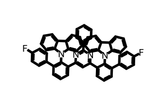 Fc1ccc(-c2cccc(-c3cc(-c4cccc(-c5ccc(F)cc5)c4-n4c5ccccc5c5ccccc54)nc(-c4ccccc4)n3)c2-n2c3ccccc3c3ccccc32)cc1